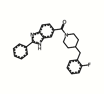 O=C(c1ccc2nc(-c3ccccc3)[nH]c2c1)N1CCC(Cc2ccccc2F)CC1